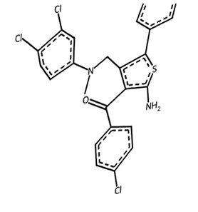 CN(Cc1c(-c2ccccc2)sc(N)c1C(=O)c1ccc(Cl)cc1)c1ccc(Cl)c(Cl)c1